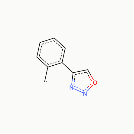 [CH2]c1ccccc1-c1conn1